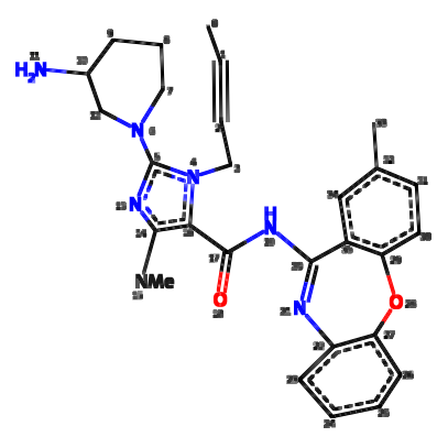 CC#CCn1c(N2CCCC(N)C2)nc(NC)c1C(=O)NC1=Nc2ccccc2Oc2ccc(C)cc21